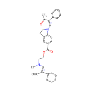 CCN(/C=C(\C=O)c1ccccc1)CCOC(=O)c1ccc2c(c1)CCN2/C=C(\C(=O)C(F)(F)F)c1ccccc1